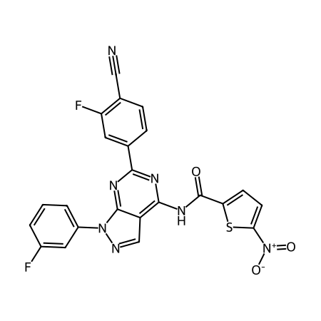 N#Cc1ccc(-c2nc(NC(=O)c3ccc([N+](=O)[O-])s3)c3cnn(-c4cccc(F)c4)c3n2)cc1F